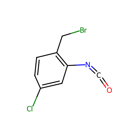 O=C=Nc1cc(Cl)ccc1CBr